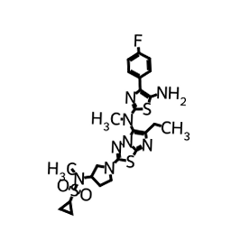 CCc1nc2sc(N3CCC(N(C)S(=O)(=O)C4CC4)C3)nn2c1N(C)c1nc(-c2ccc(F)cc2)c(N)s1